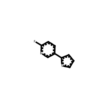 Fc1ccc(-c2cc[c]s2)cn1